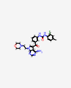 Cc1ccc(NC(=O)Nc2cccc(C(=O)c3cn(CCN4CCOCC4)c4ncnc(N)c34)c2)c(F)c1